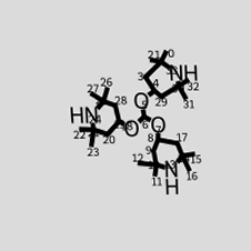 CC1(C)CC(OC(OC2CC(C)(C)NC(C)(C)C2)OC2CC(C)(C)NC(C)(C)C2)CC(C)(C)N1